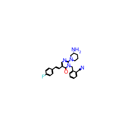 N#Cc1ccccc1Cn1c(N2CCC[C@@H](N)C2)ncc(/C=C/c2ccc(F)cc2)c1=O